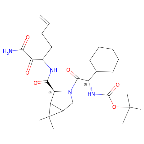 C=CCCC(NC(=O)[C@@H]1C2C(CN1C(=O)[C@@H](NC(=O)OC(C)(C)C)C1CCCCC1)C2(C)C)C(=O)C(N)=O